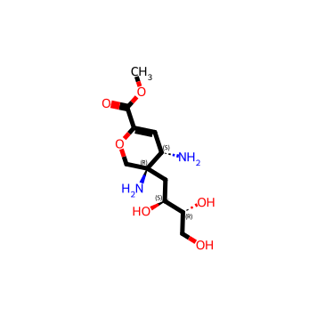 COC(=O)C1=C[C@H](N)[C@](N)(C[C@H](O)[C@H](O)CO)CO1